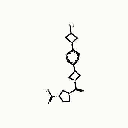 NC(=O)[C@H]1CCN(C(=O)N2CC(c3ccc(N4CC(C(F)(F)F)C4)nc3)C2)C1